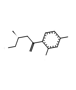 [CH2][C@H](CO)CC(=C)c1ccc(F)cc1F